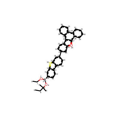 CCOB(OC(C)(C)CC)c1ccc2c(c1)sc1cc(-c3ccc4c(c3)oc3c5ccccc5c5ccccc5c43)ccc12